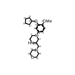 COc1ccc(N2CCNC(CN3CCOCC3)C2)cc1OC1CCCC1